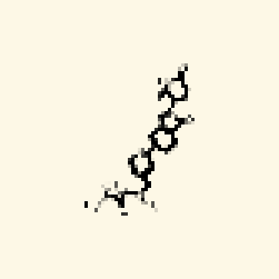 CN(CC(=O)N(C)C)Cc1ccnc(-c2ccc3c(c2)CN(C2CCC(=O)NC2=O)C3=O)c1